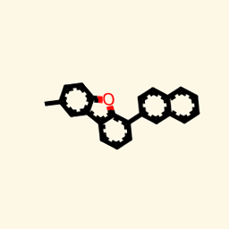 Cc1ccc2oc3c(-c4ccc5ccccc5c4)cccc3c2c1